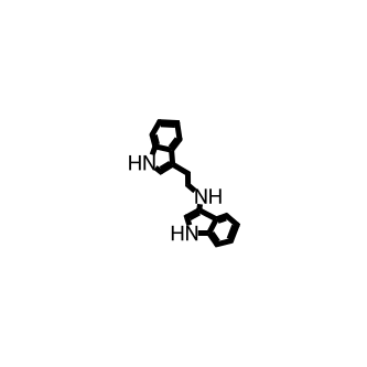 c1ccc2c(CCNc3c[nH]c4ccccc34)c[nH]c2c1